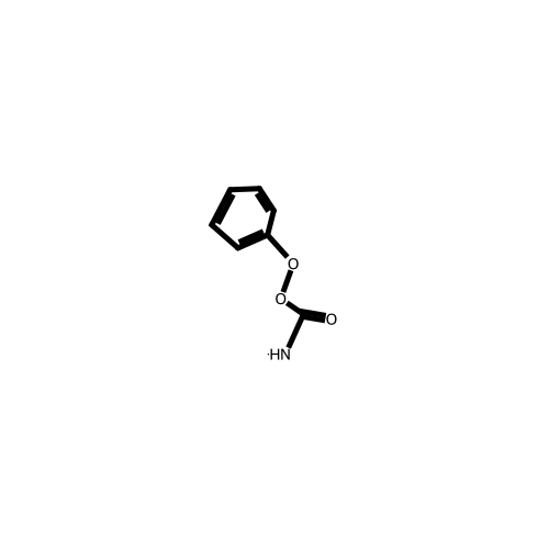 [NH]C(=O)OOc1ccccc1